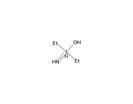 CC[SH](=N)(O)CC